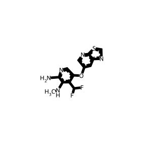 CNc1c(N)ncc(Oc2cnc3scnc3c2)c1C(F)F